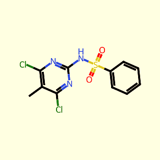 Cc1c(Cl)nc(NS(=O)(=O)c2ccccc2)nc1Cl